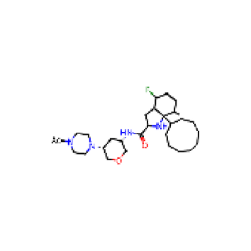 CC(=O)N1CCN([C@H]2COC[C@@H](NC(=O)C3CC4C(F)CCC(C)C4(C4CCCCCCCC4)N3)C2)CC1